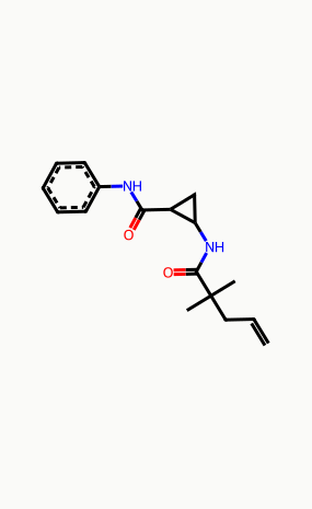 C=CCC(C)(C)C(=O)NC1CC1C(=O)Nc1ccccc1